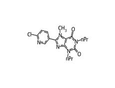 CCCn1c(=O)c2c(nc(-c3ccc(Cl)nc3)n2C)n(CCC)c1=O